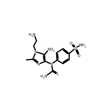 Cc1nc(N(C(N)=S)c2ccc(S(N)(=O)=O)cc2)c([N+](=O)[O-])n1CCN